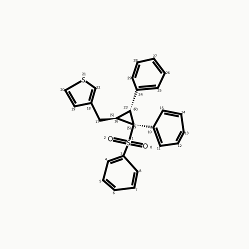 O=S(=O)(c1ccccc1)[C@@]1(c2ccccc2)[C@@H](Cc2ccsc2)[C@@H]1c1ccccc1